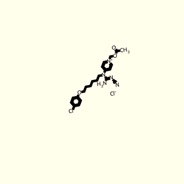 CC(=O)OC[n+]1ccc(N(CCCCCCOc2ccc(Cl)cc2)C(N)=NC#N)cc1.[Cl-]